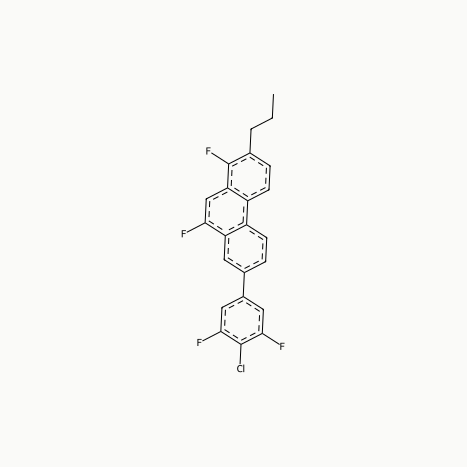 CCCc1ccc2c(cc(F)c3cc(-c4cc(F)c(Cl)c(F)c4)ccc32)c1F